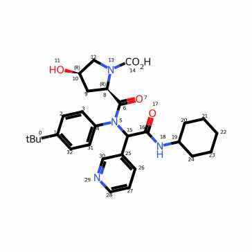 CC(C)(C)c1ccc(N(C(=O)[C@H]2C[C@@H](O)CN2C(=O)O)C(C(=O)NC2CCCCC2)c2cccnc2)cc1